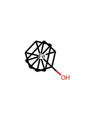 O[C]12[CH]3[CH]4[CH]5[CH]1[Fe]45321678[CH]2[CH]1[CH]6[CH]7[CH]28